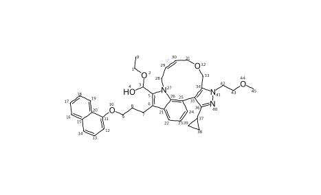 CCOC(O)c1c(CCCOc2cccc3ccccc23)c2cccc3c2n1C/C=C\COCc1c-3c(C2CC2)nn1CCOC